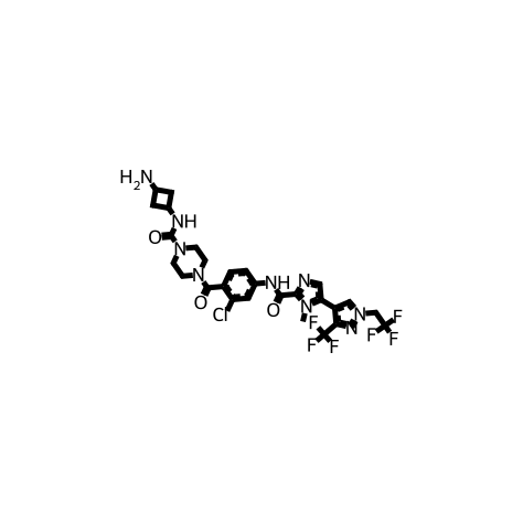 Cn1c(-c2cn(CC(F)(F)F)nc2C(F)(F)F)cnc1C(=O)Nc1ccc(C(=O)N2CCN(C(=O)NC3CC(N)C3)CC2)c(Cl)c1